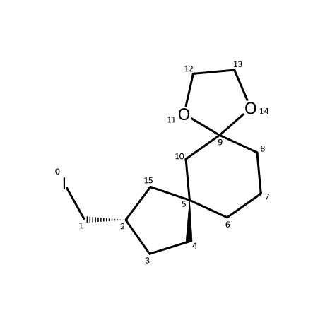 IC[C@H]1CC[C@@]2(CCCC3(C2)OCCO3)C1